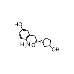 Nc1ccc(O)cc1CC(=O)N1CCC(O)C1